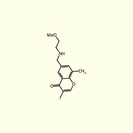 COCCNCc1cc(C)c2occ(I)c(=O)c2c1